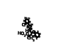 CC(C(=O)O)[C@@H](Cc1ccccc1)C(=O)Nc1nc(-c2ccccc2Cl)cs1